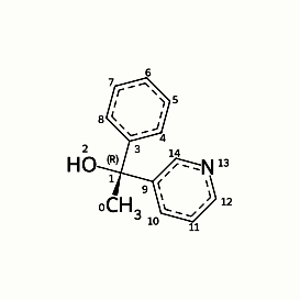 C[C@@](O)(c1ccccc1)c1cccnc1